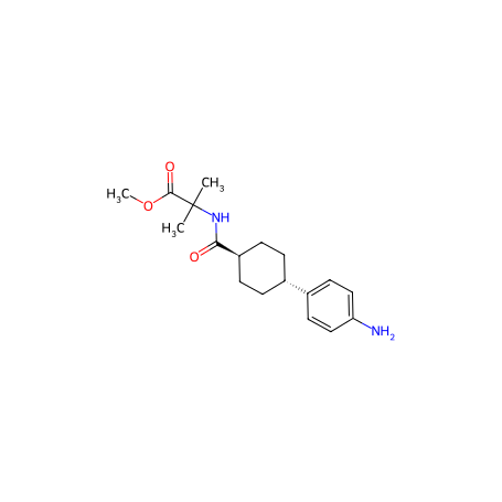 COC(=O)C(C)(C)NC(=O)[C@H]1CC[C@H](c2ccc(N)cc2)CC1